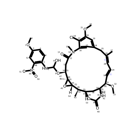 COc1ccc(NC(O)O[C@H]2CC(=O)N(C)c3cc(cc(OC)c3Cl)C/C(C)=C/C=C/[C@@H](OC)[C@@]3(O)C[C@H](OC(=O)N3)[C@@H](C)[C@@H]3O[C@@]23C)c([N+](=O)[O-])c1